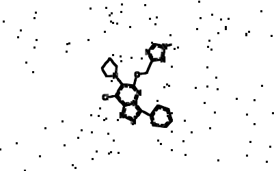 Cn1cnc(COc2nn3c(-c4ccccc4)nnc3c(Cl)c2N2CCCC2)n1